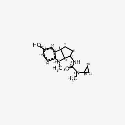 CN(C(=O)NC1CCC2c3cc(O)ccc3N(C)C12)C1CC1